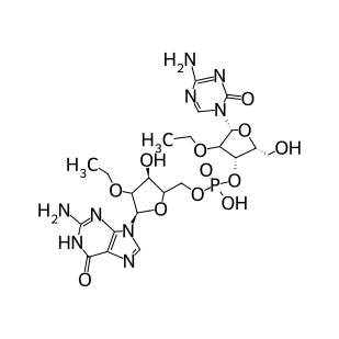 CCOC1[C@@H](OP(=O)(O)OCC2O[C@@H](n3cnc4c(=O)[nH]c(N)nc43)C(OCC)[C@H]2O)[C@@H](CO)O[C@H]1n1cnc(N)nc1=O